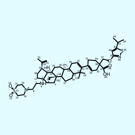 C=C[C@@]12CC[C@@]3(NCCN4CCS(=O)(=O)CC4)CC[C@@H](C(=C)C)C3[C@H]1CCC1[C@@]3(C)CC=C(C4=CCC(COc5cc(C(C)C)sn5)(C(=O)O)CC4)C(C)(C)C3CC[C@]12C